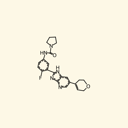 O=C(Nc1ccc(F)c(-c2nc3ncc(C4=CCOCC4)cc3[nH]2)c1)N1CCCC1